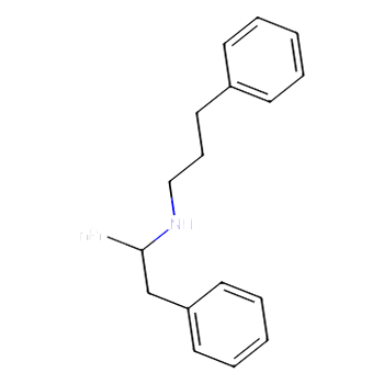 CCCC(Cc1ccccc1)NCCCc1ccccc1